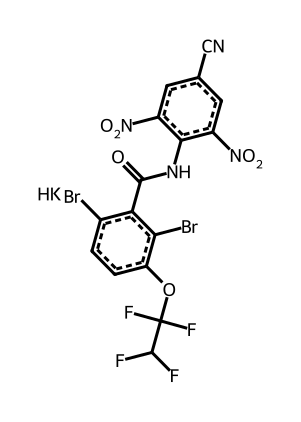 N#Cc1cc([N+](=O)[O-])c(NC(=O)c2c(Br)ccc(OC(F)(F)C(F)F)c2Br)c([N+](=O)[O-])c1.[KH]